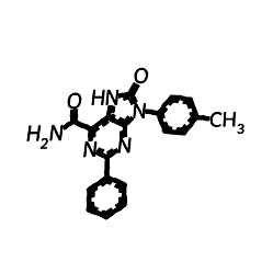 Cc1ccc(-n2c(=O)[nH]c3c(C(N)=O)nc(-c4ccccc4)nc32)cc1